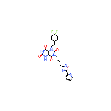 O=c1[nH]c(=O)c2c([nH]1)c(=O)n(CCCCc1noc(-c3ccccn3)n1)c(=O)n2CCC1CCC(F)(F)CC1